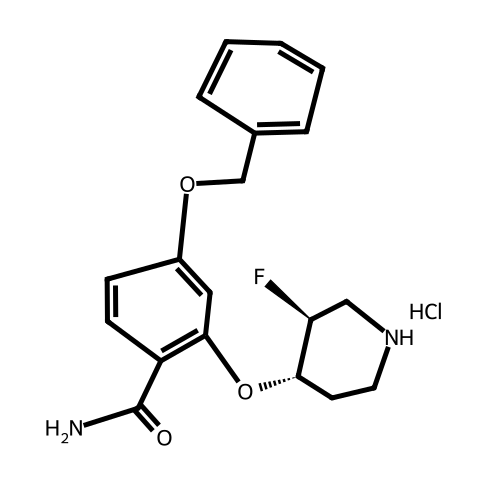 Cl.NC(=O)c1ccc(OCc2ccccc2)cc1O[C@H]1CCNC[C@@H]1F